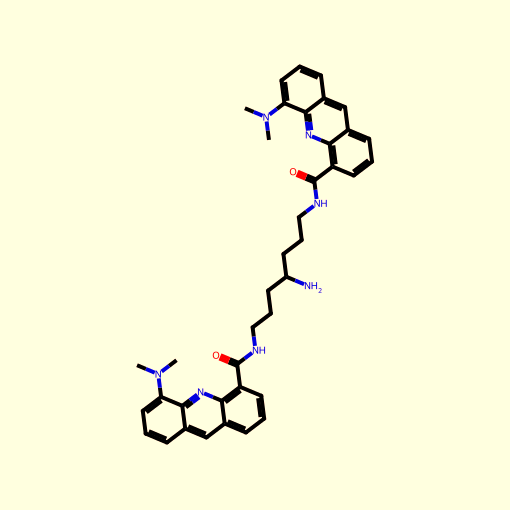 CN(C)c1cccc2cc3cccc(C(=O)NCCCC(N)CCCNC(=O)c4cccc5cc6cccc(N(C)C)c6nc45)c3nc12